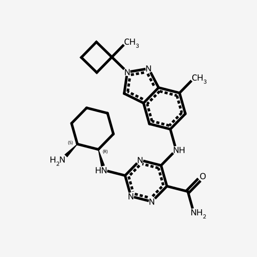 Cc1cc(Nc2nc(N[C@@H]3CCCC[C@@H]3N)nnc2C(N)=O)cc2cn(C3(C)CCC3)nc12